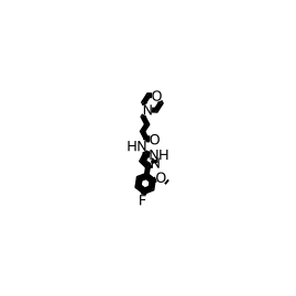 COc1cc(F)ccc1-c1cc(NC(=O)CCCN2CCOCC2)[nH]n1